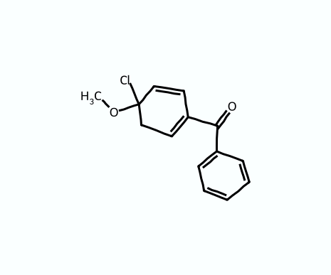 COC1(Cl)C=CC(C(=O)c2ccccc2)=CC1